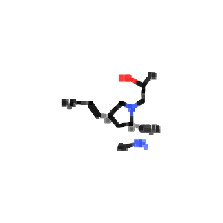 CC(N)=O.CC=C[C@H]1C[C@@H](C(=O)OCC)N(CC(O)CC)C1